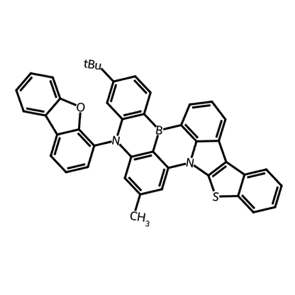 Cc1cc2c3c(c1)-n1c4sc5ccccc5c4c4cccc(c41)B3c1ccc(C(C)(C)C)cc1N2c1cccc2c1oc1ccccc12